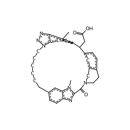 Cc1c2ccc3c1nnn3CCCCCCc1ccc3nc(n(C)c3c1)C(=O)N1CCc3ccc(cc3C1)C2CC(=O)O